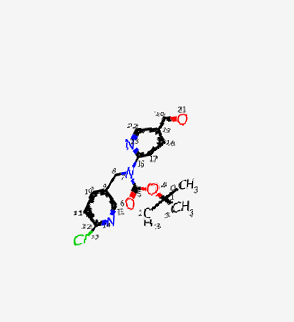 CC(C)(C)OC(=O)N(Cc1ccc(Cl)nc1)c1ccc(C=O)cn1